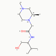 CC(C)C(CO)NC(=O)CN1CCN(C)C[C@H]1C